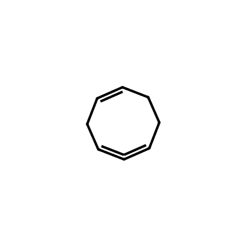 C1=CCC=CCCC=1